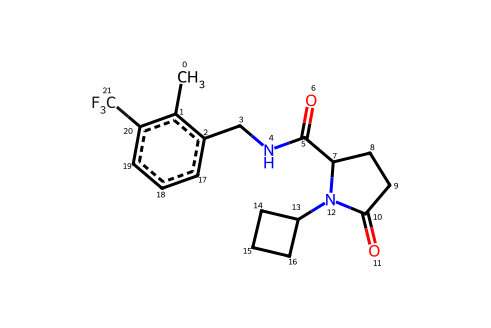 Cc1c(CNC(=O)C2CCC(=O)N2C2CCC2)cccc1C(F)(F)F